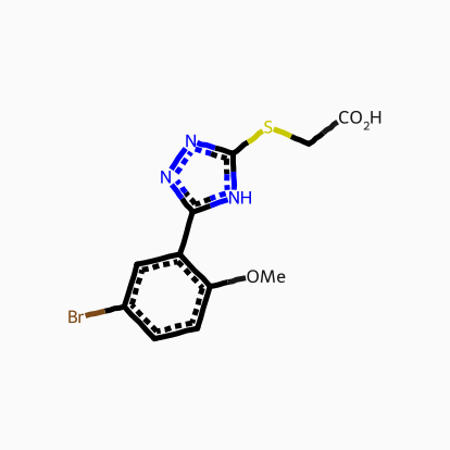 COc1ccc(Br)cc1-c1nnc(SCC(=O)O)[nH]1